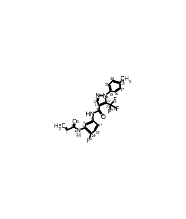 C=CC(=O)Nc1cc(NC(=O)c2cnn(-c3ccc(C)cc3)c2C(F)(F)F)ccc1F